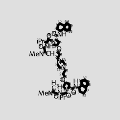 CN[C@@H](C)C(=O)NC(C(=O)N1C[C@@H](OCCCN2CCN(CCCO[C@H]3C[C@@H](C(=O)N[C@@H]4CCCc5ccccc54)N(C(=O)C(NC(=O)[C@H](C)NC)C(C)C)C3)CC2)C[C@H]1C(=O)N[C@@H]1CCCc2ccccc21)C(C)C